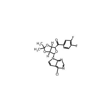 CC1(C)O[C@@H]2[C@H](O1)[C@@H](C(=O)c1ccc(F)c(F)c1)O[C@H]2n1ccc2c(Cl)ncnc21